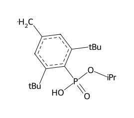 [CH2]c1cc(C(C)(C)C)c(P(=O)(O)OC(C)C)c(C(C)(C)C)c1